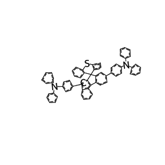 c1ccc(N(c2ccccc2)c2ccc(-c3ccc4c(c3)C3(c5ccccc5Sc5ccccc53)c3cc(-c5ccc(N(c6ccccc6)c6ccccc6)cc5)c5ccccc5c3-4)cc2)cc1